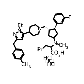 CCn1nc(Cc2ccc(C)cc2)cc1C1CCN(C[C@H]2CC(N(C)[C@H](CC(C)C)C(=O)O)C[C@@H]2c2cccc(F)c2)CC1.Cl.Cl.Cl